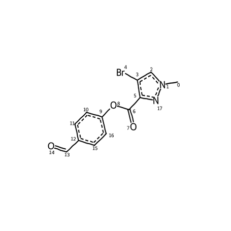 Cn1cc(Br)c(C(=O)Oc2ccc(C=O)cc2)n1